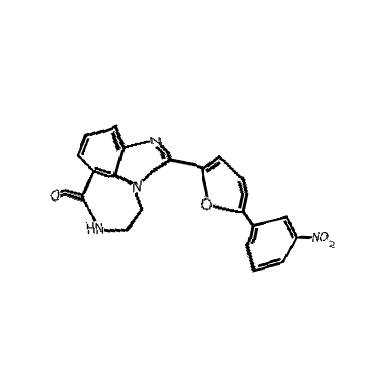 O=C1NCCn2c(-c3ccc(-c4cccc([N+](=O)[O-])c4)o3)nc3cccc1c32